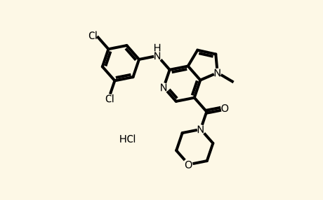 Cl.Cn1ccc2c(Nc3cc(Cl)cc(Cl)c3)ncc(C(=O)N3CCOCC3)c21